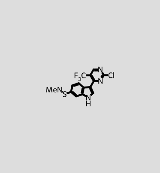 CNSc1ccc2c(-c3nc(Cl)ncc3C(F)(F)F)c[nH]c2c1